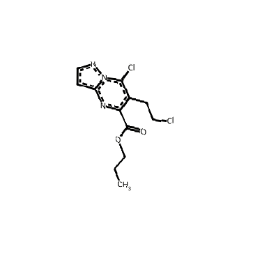 CCCOC(=O)c1nc2ccnn2c(Cl)c1CCCl